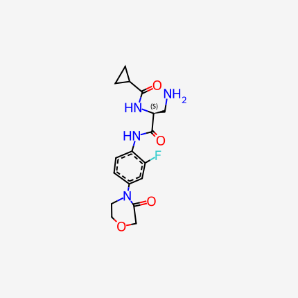 NC[C@H](NC(=O)C1CC1)C(=O)Nc1ccc(N2CCOCC2=O)cc1F